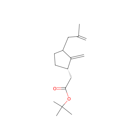 C=C(C)CC1CC[C@@H](CC(=O)OC(C)(C)C)C1=C